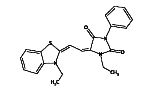 CCN1C(=O)N(c2ccccc2)C(=O)C1=CC=C1Sc2ccccc2N1CC